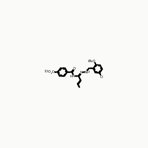 C/C=C/C(=N\NCc1cc(Cl)ccc1OCC(C)C)NC(=O)c1ccc(C(=O)OCC)cc1